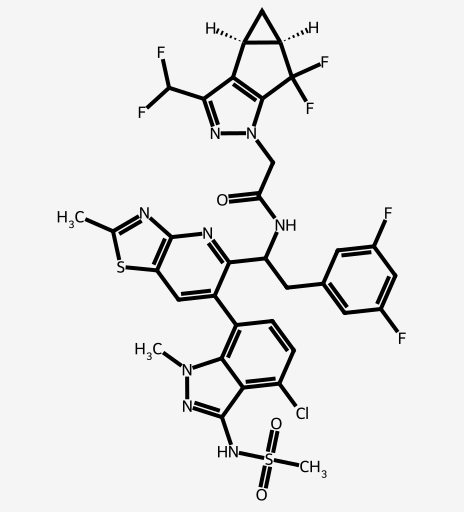 Cc1nc2nc(C(Cc3cc(F)cc(F)c3)NC(=O)Cn3nc(C(F)F)c4c3C(F)(F)[C@@H]3C[C@H]43)c(-c3ccc(Cl)c4c(NS(C)(=O)=O)nn(C)c34)cc2s1